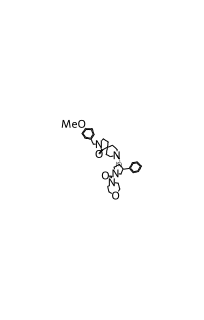 COc1ccc(CN2CCC3(CCN(C[C@H]4CN(C(=O)N5CCOCC5)CC4c4ccccc4)CC3)C2=O)cc1